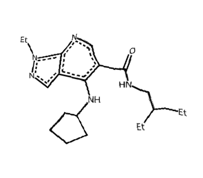 CCC(CC)CNC(=O)c1cnc2c(cnn2CC)c1NC1CCCC1